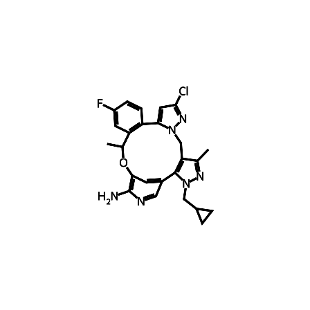 Cc1nn(CC2CC2)c2c1Cn1nc(Cl)cc1-c1ccc(F)cc1C(C)Oc1cc-2cnc1N